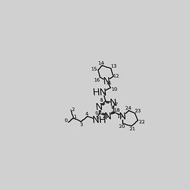 CC(C)CCNc1nc(NCN2CCCCC2)nc(N2CCCCC2)n1